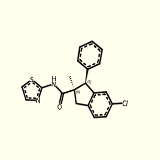 C[C@@]1(C(=O)Nc2nccs2)Cc2ccc(Cl)cc2[C@@H]1c1ccccc1